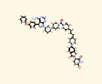 Nc1ncnc2c1c(-c1ccc(Oc3ccccc3)cc1)nn2[C@@H]1CCCN(C2CCN(C(=O)N3CCC(CCCC4CCN(c5ccc6c(c5)CN(C5CCC(=O)NC5=O)C6=O)CC4)CC3)CC2)C1